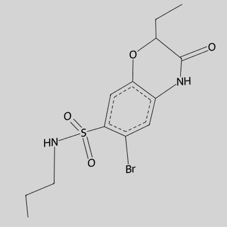 CCCNS(=O)(=O)c1cc2c(cc1Br)NC(=O)C(CC)O2